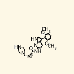 COc1cccc(OC)c1-c1c[nH]c2nc(NC(=O)[C@H]3C[C@@H]3CN3CCNCC3)ccc12